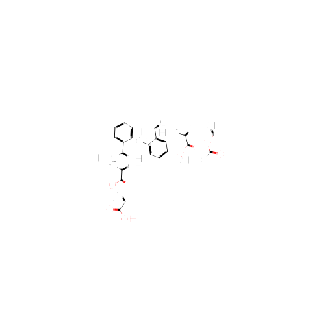 C=C(C)C(=O)O.C=C(C)C(=O)OC.C=C(C)c1ccccc1.C=CC(=O)O.C=COC(C)=O.C=Cc1ccccc1C